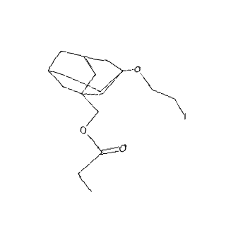 CCC(=O)OCC12CC3CC(C1)CC(OCCI)(C3)C2